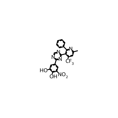 Cc1cc(C(F)(F)F)c(-c2ncnc(-c3cc(O)c(O)c([N+](=O)[O-])c3)n2)c(-c2ccccc2)n1